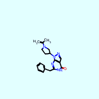 C=C(C)N1CCC(n2ncc3c(=O)[nH]c(Cc4ccccc4)nc32)C1